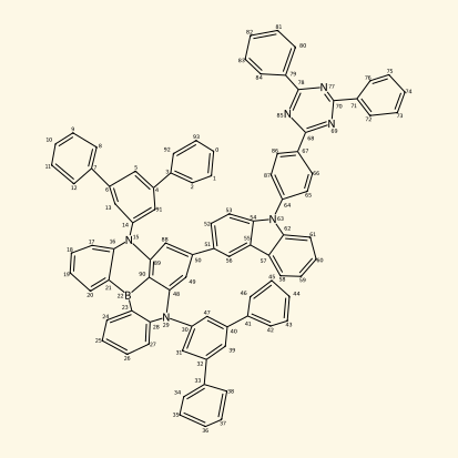 c1ccc(-c2cc(-c3ccccc3)cc(N3c4ccccc4B4c5ccccc5N(c5cc(-c6ccccc6)cc(-c6ccccc6)c5)c5cc(-c6ccc7c(c6)c6ccccc6n7-c6ccc(-c7nc(-c8ccccc8)nc(-c8ccccc8)n7)cc6)cc3c54)c2)cc1